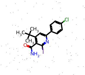 CC(C)(C)c1cc(-c2ccc(Cl)cc2)nc(I)c1C(N)=O